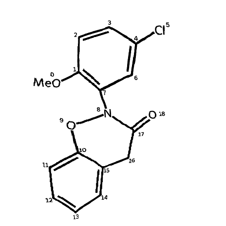 COc1ccc(Cl)cc1N1Oc2ccccc2CC1=O